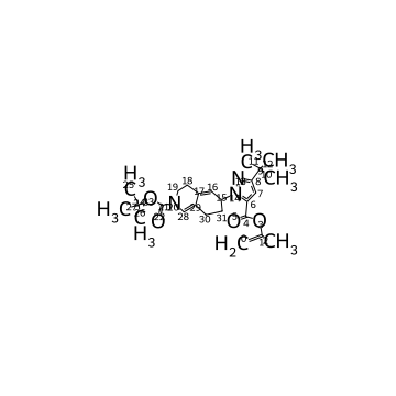 C=C(C)OC(=O)c1cc(C(C)(C)C)nn1C1C=C2CCN(C(=O)OC(C)(C)C)C=C2CC1